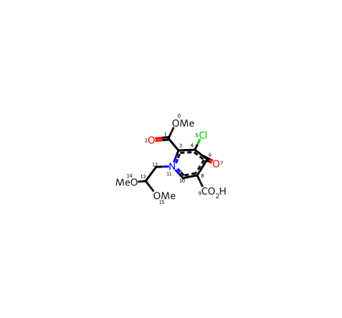 COC(=O)c1c(Cl)c(=O)c(C(=O)O)cn1CC(OC)OC